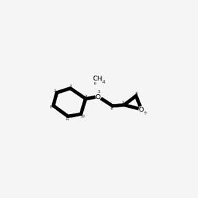 C.C1CCC(OCC2CO2)CC1